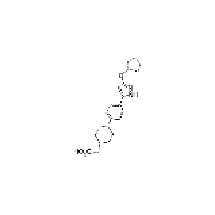 O=C(O)CC1CCC(c2ccc(-c3cc(OC4CCCC4)n[nH]3)cc2)CC1